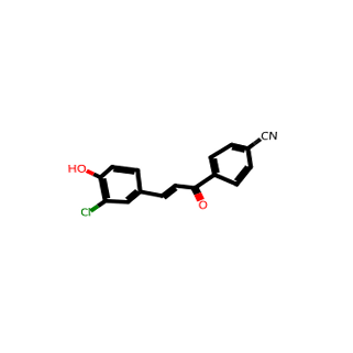 N#Cc1ccc(C(=O)C=Cc2ccc(O)c(Cl)c2)cc1